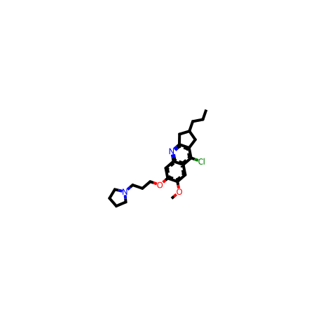 CCCC1Cc2nc3cc(OCCCN4CCCC4)c(OC)cc3c(Cl)c2C1